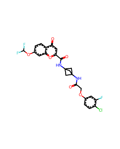 O=C(COc1ccc(Cl)c(F)c1)NC12CC(NC(=O)c3cc(=O)c4ccc(OC(F)F)cc4o3)(C1)C2